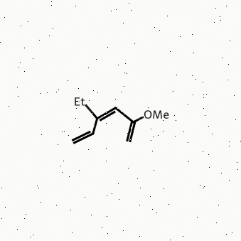 C=C/C(=C\C(=C)OC)CC